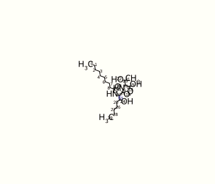 CCCCCCCCCC(=O)N/C(C(=O)NC(C(=O)O)C(C)O)=C(/O)CCCCC